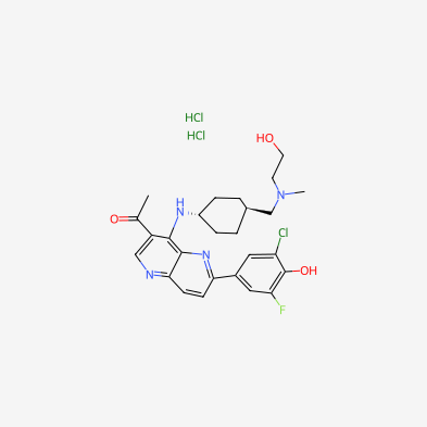 CC(=O)c1cnc2ccc(-c3cc(F)c(O)c(Cl)c3)nc2c1N[C@H]1CC[C@H](CN(C)CCO)CC1.Cl.Cl